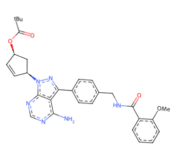 COc1ccccc1C(=O)NCc1ccc(-c2nn([C@H]3C=C[C@@H](OC(=O)C(C)(C)C)C3)c3ncnc(N)c23)cc1